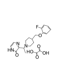 CC(c1ncc[nH]c1=O)N1CCC(COc2ccccc2F)CC1.O=C(O)C(=O)O